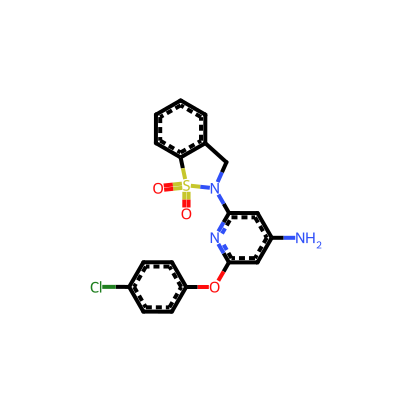 Nc1cc(Oc2ccc(Cl)cc2)nc(N2Cc3ccccc3S2(=O)=O)c1